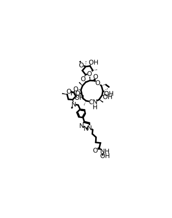 CC[C@H]1OC(=O)[C@H](C)[C@@H](O[C@H]2C[C@@](C)(OC)[C@@H](O)[C@H](C)O2)[C@H](C)[C@@H](O[C@@H]2O[C@H](C)C[C@H](N(C)Cc3ccc(-c4cn(CCCCCC(=O)NO)nn4)cc3)[C@H]2O)[C@](C)(O)C[C@@H](C)CN[C@H](C)[C@@H](O)[C@]1(C)O